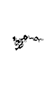 CC(C)(C)OC(=O)N1CCN(CCOc2ccc(-c3nc4c(OC5(C)CC5)ncnc4n3Cc3cc(C4CC4)ccn3)c(Cl)c2)CC1